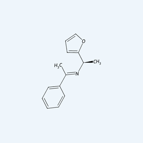 C/C(=N\[C@H](C)c1ccco1)c1ccccc1